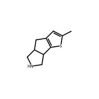 Cc1cc2c(s1)C1CNCC1C2